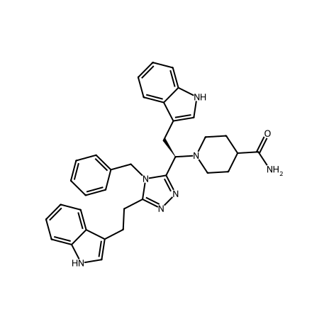 NC(=O)C1CCN([C@H](Cc2c[nH]c3ccccc23)c2nnc(CCc3c[nH]c4ccccc34)n2Cc2ccccc2)CC1